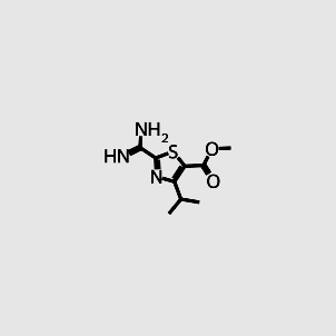 COC(=O)c1sc(C(=N)N)nc1C(C)C